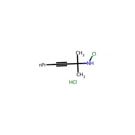 CCCC#CC(C)(C)NCl.Cl